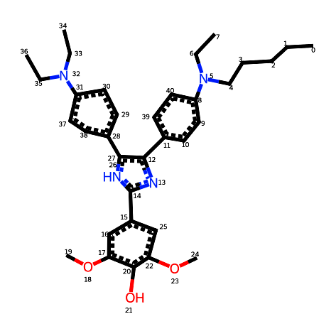 CCCCCN(CC)c1ccc(-c2nc(-c3cc(OC)c(O)c(OC)c3)[nH]c2-c2ccc(N(CC)CC)cc2)cc1